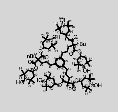 CCCCC(CCCc1cc(CCCC(CCCC)(C(=O)OC2CC(C)(C)N(O)C(C)(C)C2)C(=O)OC2CC(C)(C)N(O)C(C)(C)C2)cc(CCCC(CCCC)(C(=O)OC2CC(C)(C)N(O)C(C)(C)C2)C(=O)OC2CC(C)(C)N(O)C(C)(C)C2)c1)(C(=O)OC1CC(C)(C)N(O)C(C)(C)C1)C(=O)OC1CC(C)(C)N(O)C(C)(C)C1